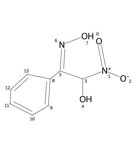 O=[N+]([O-])C(O)C(=NO)c1ccccc1